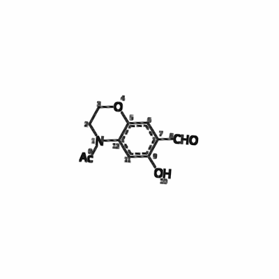 CC(=O)N1CCOc2cc(C=O)c(O)cc21